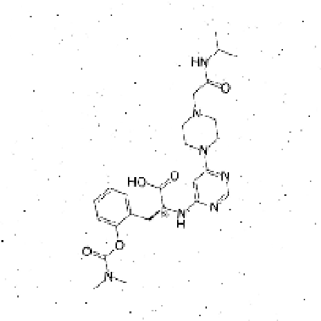 CC(C)NC(=O)CN1CCN(c2cc(N[C@@H](Cc3ccccc3OC(=O)N(C)C)C(=O)O)ncn2)CC1